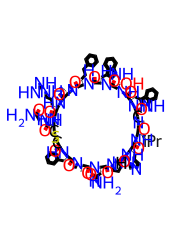 CC(C)C[C@@H]1NC(=O)[C@H](Cc2cnc[nH]2)NC(=O)[C@@H]2CCCN2C(=O)[C@H](CC(N)=O)NC(=O)[C@H](C)N(C)C(=O)[C@H](Cc2ccccc2)NC(=O)CSC[C@@H](C(=O)NCC(N)=O)NC(=O)[C@H](CCCNC(=N)N)NC(=O)[C@H](C)N(C)C(=O)[C@H](CCCc2ccccc2)NC(=O)[C@H](Cc2c[nH]c3ccccc23)NC(=O)[C@H](CO)NC(=O)[C@H](Cc2c[nH]c3ccccc23)NC(=O)CN(C)C1=O